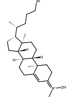 CC(C)CCC[C@@H](C)[C@H]1CC[C@H]2[C@@H]3CCC4=C/C(=[N+](\C)O)CC[C@]4(C)[C@H]3CC[C@]12C